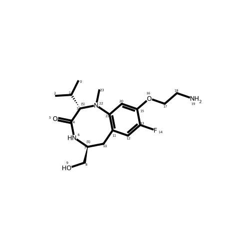 CC(C)[C@H]1C(=O)N[C@H](CO)Cc2cc(F)c(OCCN)cc2N1C